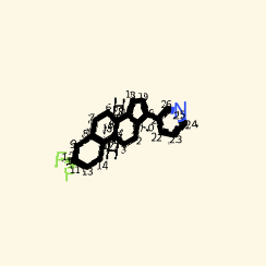 C[C@]12CC[C@H]3[C@@H](CCC4CC(F)(F)CC[C@@]43C)C1=CC=C2c1cccnc1